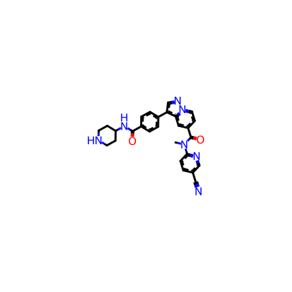 CN(C(=O)c1ccn2ncc(-c3ccc(C(=O)NC4CCNCC4)cc3)c2c1)c1ccc(C#N)cn1